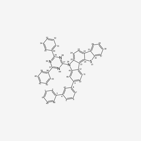 c1ccc(-c2cccc(-c3ccc4c5c6sc7ccccc7c6ccc5n(-c5nc(-c6ccccc6)nc(-c6ccccc6)n5)c4c3)c2)cc1